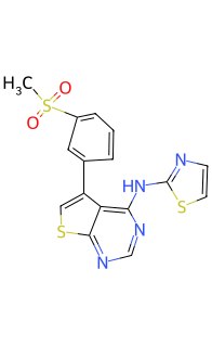 CS(=O)(=O)c1cccc(-c2csc3ncnc(Nc4nccs4)c23)c1